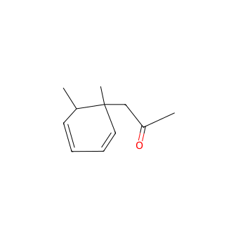 CC(=O)CC1(C)C=CC=CC1C